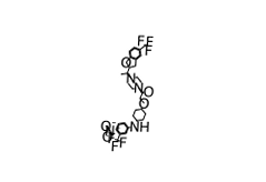 CC(C1Cc2cc(C(F)(F)F)ccc2O1)N1CCN(C(=O)CO[C@H]2CC[C@H](Nc3ccc([N+](=O)[O-])c(C(F)(F)F)c3)CC2)CC1